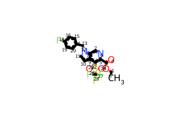 CCOC(=O)c1ncc2c(ccn2Cc2ccc(F)cc2)c1S(=O)(=O)C(F)(F)F